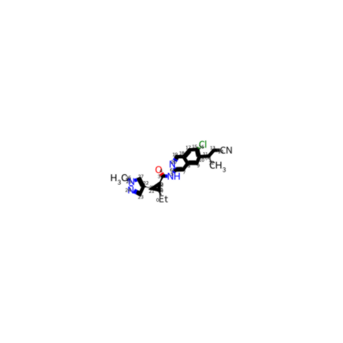 CC[C@@H]1[C@H](C(=O)Nc2cc3cc([C@@H](C)CC#N)c(Cl)cc3cn2)[C@H]1c1cnn(C)c1